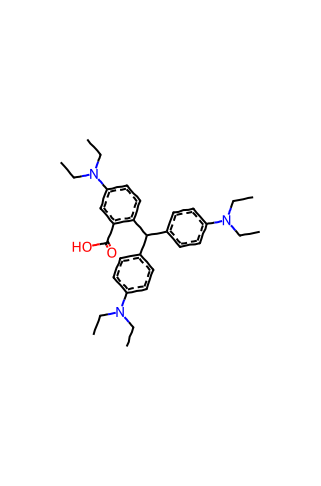 CCN(CC)c1ccc(C(c2ccc(N(CC)CC)cc2)c2ccc(N(CC)CC)cc2C(=O)O)cc1